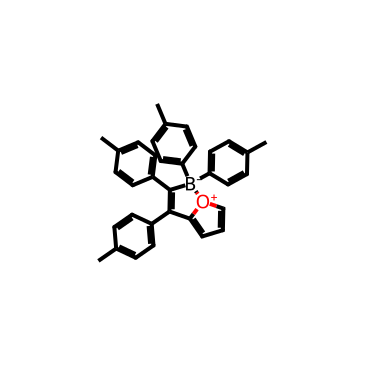 Cc1ccc(C2=C(c3ccc(C)cc3)[B-](c3ccc(C)cc3)(c3ccc(C)cc3)[o+]3cccc32)cc1